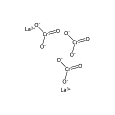 [La+3].[La+3].[O]=[Cr]([O-])[O-].[O]=[Cr]([O-])[O-].[O]=[Cr]([O-])[O-]